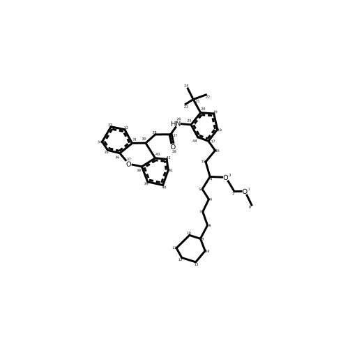 COCOC(CCCCC1CCCCC1)CCc1ccc(C(C)(C)C)c(NC(=O)CC2c3ccccc3Oc3ccccc32)c1